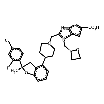 C[C@@]1(c2ccc(Cl)cc2F)Cc2c(cccc2C2CCN(Cc3nc4sc(C(=O)O)cc4n3C[C@@H]3CCO3)CC2)O1